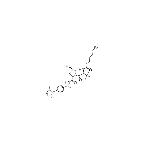 Cc1ccsc1-c1ccc([C@H](C)NC(=O)[C@@H]2C[C@@H](O)CN2C(=O)C(NC(=O)CCCCCBr)C(C)(C)C)cc1